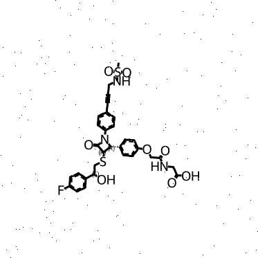 CS(=O)(=O)NCC#Cc1ccc(N2C(=O)[C@H](SC[C@@H](O)c3ccc(F)cc3)[C@H]2c2ccc(OCC(=O)NCC(=O)O)cc2)cc1